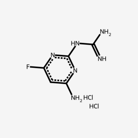 Cl.Cl.N=C(N)Nc1nc(N)cc(F)n1